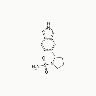 NS(=O)(=O)N1CCCC1c1ccc2c[nH]cc2c1